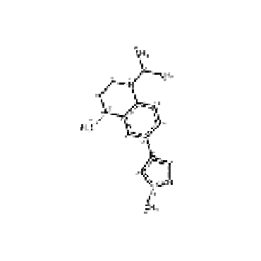 CC(C)N1CC[C@@H](C)c2cc(-c3cnn(C)c3)ccc21